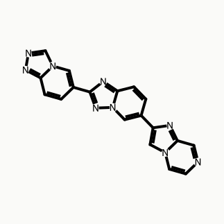 c1cn2cc(-c3ccc4nc(-c5ccc6nncn6c5)nn4c3)nc2cn1